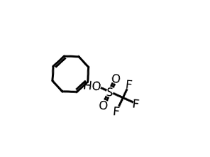 C1=CCCC=CCC1.O=S(=O)(O)C(F)(F)F